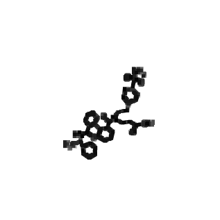 CC(NC(=O)c1ccccc1-c1ccccc1C(=O)N(CCC(=O)O)CCc1ccc(S(N)(=O)=O)cc1)c1ccccc1